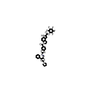 O=C(Oc1c(F)c(F)c(F)c(F)c1F)c1cc2c3c(ccc2[nH]1)N(C(=O)c1ccc2nc(/N=N/c4sc(N5CCCC5)nc4-c4ccccc4)sc2c1)CC3